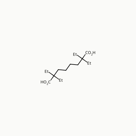 CCC(CC)(CCCCC(CC)(CC)C(=O)O)C(=O)O